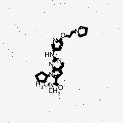 CN(C)C(=O)c1cc2cnc(Nc3ccc(OCCN4CCCC4)nc3)nc2n1C1CCCC1